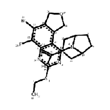 CCSc1nc(N2C3CCC2CN(C(=O)O)C3)c2c3c(c(Br)c(F)c2n1)COC3